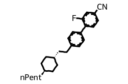 CCCCC[C@H]1CC[C@H](CCc2ccc(-c3ccc(C#N)cc3F)cc2)CC1